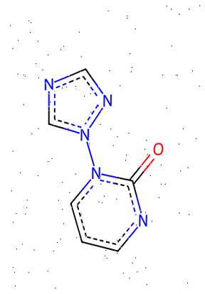 O=c1ncccn1-n1cncn1